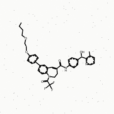 CCCCOCCOc1ccc(-c2ccc3c(c2)C=C(C(=O)Nc2ccc(C(O)c4ncccc4C)cc2)CCN3C(=O)C(F)(F)F)cc1